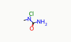 CN(Cl)C(N)=O